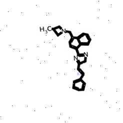 CC1CN(Cc2ccc(C3=NCC(/C=C/c4ccccc4)=N3)c3ccccc23)C1